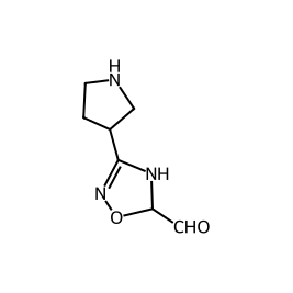 O=CC1NC(C2CCNC2)=NO1